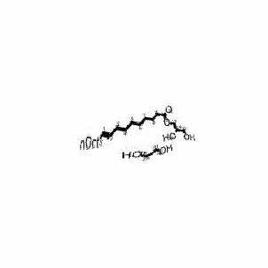 CCCCCCCCC=CCCCCCCCC(=O)OCC(O)CO.OCCO